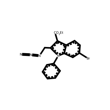 CCOC(=O)c1c(CN=[N+]=[N-])n(-c2ccccc2)c2cc(Br)ccc12